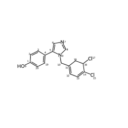 Oc1ccc(-c2cncn2CC2=CC=C(Cl)C(Cl)C2)cc1